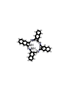 N/C1=N\c2[nH]c(c3cc4ccccc4cc23)/N=C2N=C(/N=c3\[nH]/c(c4cc5c(cc34)CCC=C5)=N\Cc3cc4ccccc4cc31)c1cc3ccccc3cc1\2